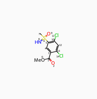 COC(=O)c1cc(S(C)(=N)=O)c(Cl)cc1Cl